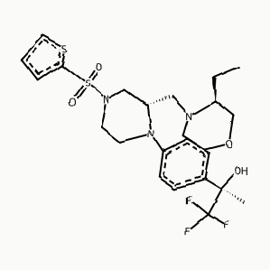 CC[C@H]1COCCN1C[C@H]1CN(S(=O)(=O)c2cccs2)CCN1c1ccc([C@@](C)(O)C(F)(F)F)cc1